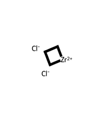 C1[CH2][Zr+2][CH2]1.[Cl-].[Cl-]